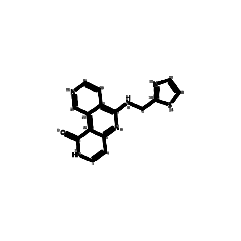 O=c1[nH]ccc2nc(NCc3nccs3)c3ccncc3c12